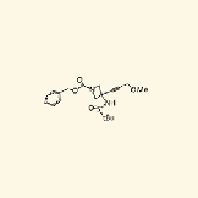 COCC#CC1(N[S+]([O-])C(C)(C)C)CN(C(=O)OCc2ccccc2)C1